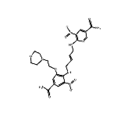 NC(=O)c1cnc(NCC=CCNc2c(OCCN3CCOCC3)cc(C(N)=O)cc2[N+](=O)[O-])c([N+](=O)[O-])c1